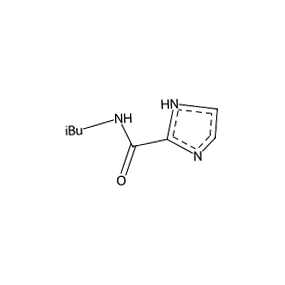 CCC(C)NC(=O)c1ncc[nH]1